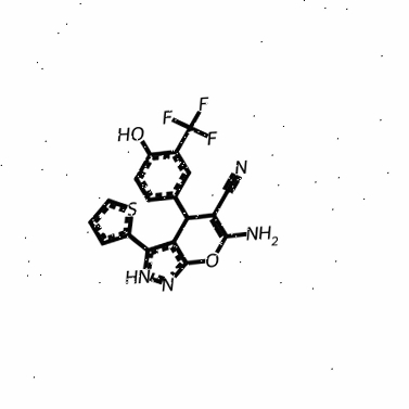 N#CC1=C(N)Oc2n[nH]c(-c3cccs3)c2C1c1ccc(O)c(C(F)(F)F)c1